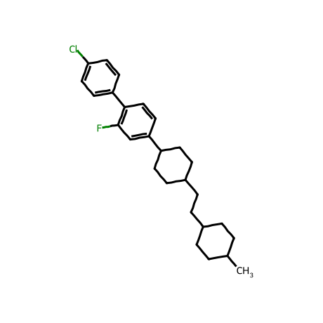 CC1CCC(CCC2CCC(c3ccc(-c4ccc(Cl)cc4)c(F)c3)CC2)CC1